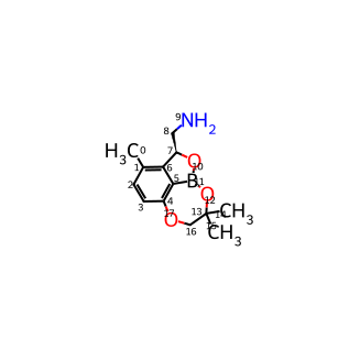 Cc1ccc2c3c1[C@@H](CN)OB3OC(C)(C)CO2